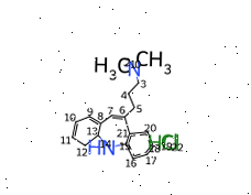 CN(C)CCCC1=CC2=CC=CCC2Nc2ccc(Cl)cc21.Cl